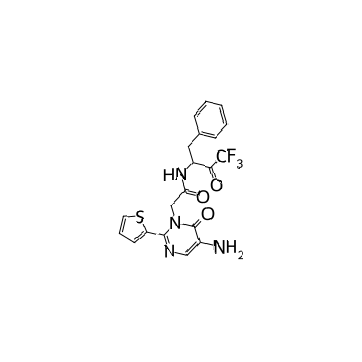 Nc1cnc(-c2cccs2)n(CC(=O)NC(Cc2ccccc2)C(=O)C(F)(F)F)c1=O